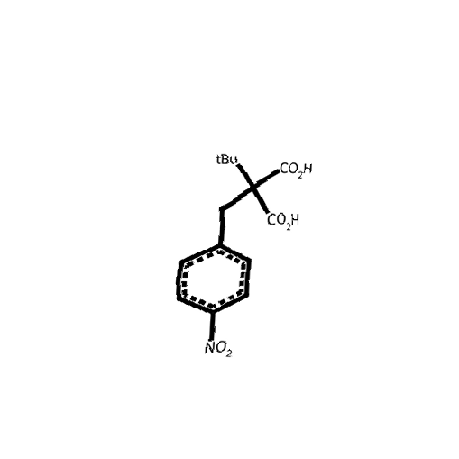 CC(C)(C)C(Cc1ccc([N+](=O)[O-])cc1)(C(=O)O)C(=O)O